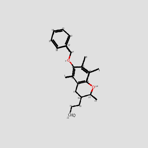 Cc1c(C)c2c(c(C)c1OCc1ccccc1)CC(CCC=O)C(C)O2